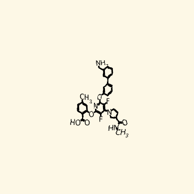 CNC(=O)C1CCN(c2c(F)c(Oc3cccc(-c4cccc(CN)c4)c3)nc(Oc3cc(C)ccc3C(=O)O)c2F)C1